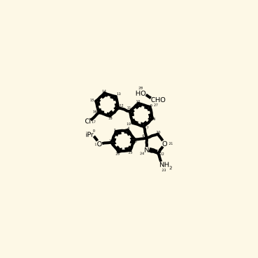 CC(C)Oc1ccc(C2(c3cccc(-c4cccc(Cl)c4)c3)COC(N)=N2)cc1.O=CO